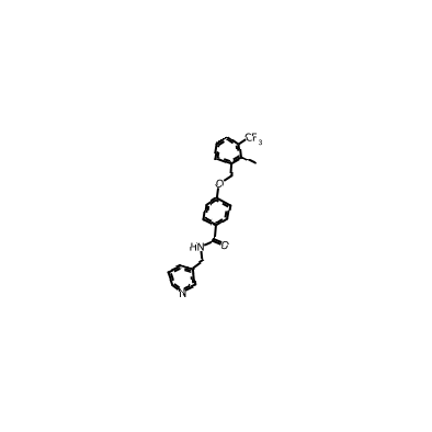 Cc1c(COc2ccc(C(=O)NCc3cccnc3)cc2)cccc1C(F)(F)F